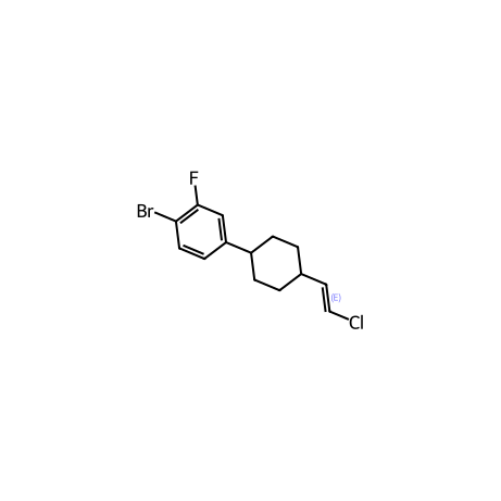 Fc1cc(C2CCC(/C=C/Cl)CC2)ccc1Br